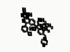 C=CN(C)/C(=C\N)C(O)(c1ccc(CN2CCSCC2)cc1)c1ccc2c(c1)C(c1cccc(Cl)c1)=NC1=NNNN12